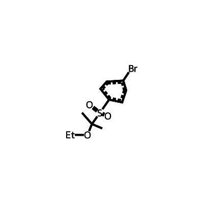 CCOC(C)(C)S(=O)(=O)c1ccc(Br)cc1